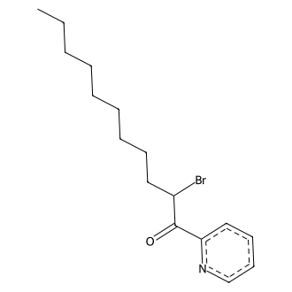 CCCCCCCCCC(Br)C(=O)c1ccccn1